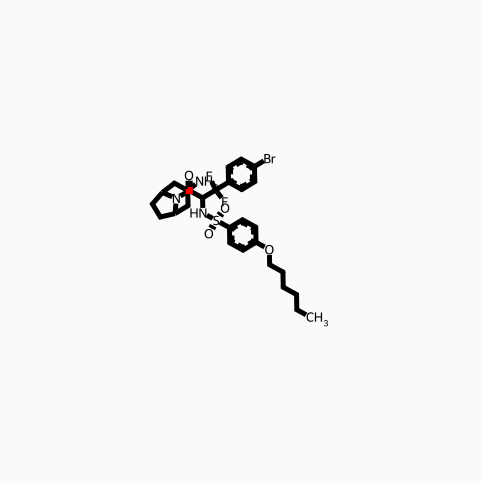 CCCCCCOc1ccc(S(=O)(=O)NC(C(=O)N2C3CCC2CC(N)C3)C(F)(F)c2ccc(Br)cc2)cc1